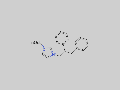 CCCCCCCCn1cc[n+](CC(Cc2ccccc2)c2ccccc2)c1